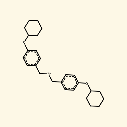 c1cc(SC2CCCCC2)ccc1[CH2][Zr][CH2]c1ccc(SC2CCCCC2)cc1